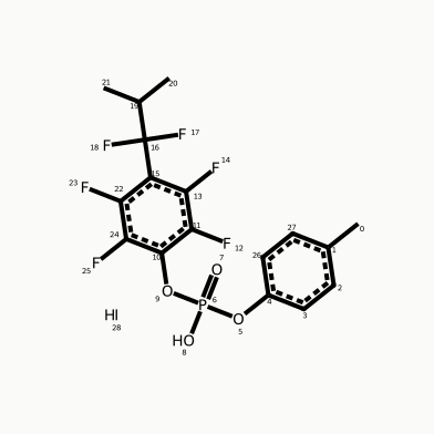 Cc1ccc(OP(=O)(O)Oc2c(F)c(F)c(C(F)(F)C(C)C)c(F)c2F)cc1.I